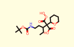 CCC(CCNC(=O)OC(C)(C)C)C(C(=O)O)(C(=O)OO)C1CCCCO1